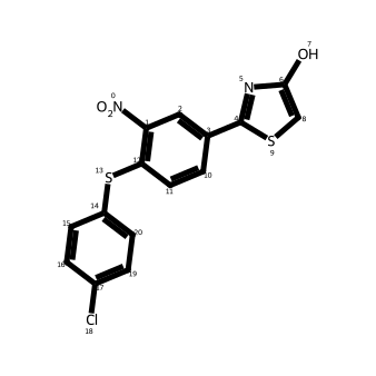 O=[N+]([O-])c1cc(-c2nc(O)cs2)ccc1Sc1ccc(Cl)cc1